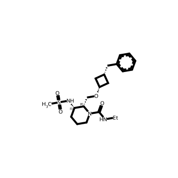 CCNC(=O)N1CCC[C@H](NS(C)(=O)=O)[C@@H]1CO[C@H]1C[C@@H](Cc2ccccc2)C1